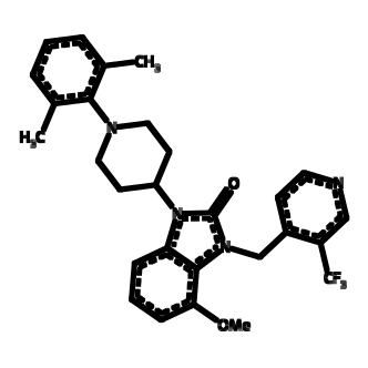 COc1cccc2c1n(Cc1ccncc1C(F)(F)F)c(=O)n2C1CCN(c2c(C)cccc2C)CC1